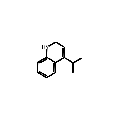 CC(C)C1=CCNc2ccccc21